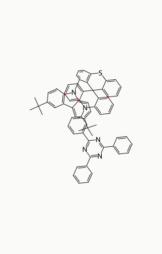 CC(C)(C)c1ccc2c(c1)c1cc(C(C)(C)C)ccc1n2-c1cccc2c1C1(c3ccccc3S2)c2ccccc2N(c2cccc(-c3nc(-c4ccccc4)nc(-c4ccccc4)n3)c2)c2ccccc21